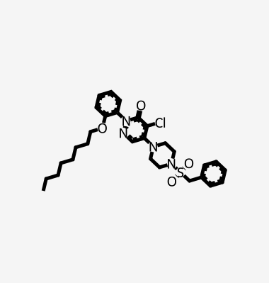 CCCCCCCCOc1ccccc1-n1ncc(N2CCN(S(=O)(=O)Cc3ccccc3)CC2)c(Cl)c1=O